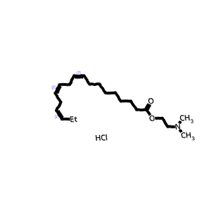 CC/C=C\C/C=C\C/C=C\CCCCCCCC(=O)OCCN(C)C.Cl